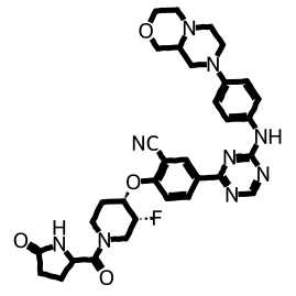 N#Cc1cc(-c2ncnc(Nc3ccc(N4CCN5CCOCC5C4)cc3)n2)ccc1O[C@H]1CCN(C(=O)C2CCC(=O)N2)C[C@H]1F